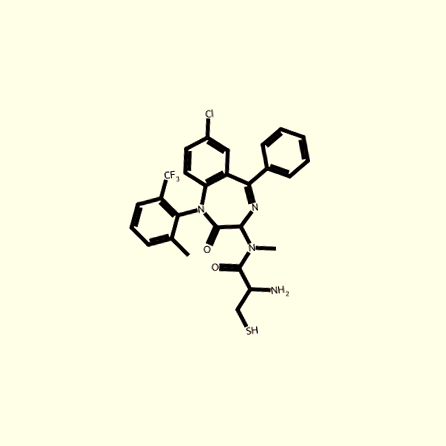 Cc1cccc(C(F)(F)F)c1N1C(=O)C(N(C)C(=O)C(N)CS)N=C(c2ccccc2)c2cc(Cl)ccc21